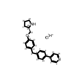 [Cl-].[H+].c1cc(-c2ccc(Cc3ccc(OC[C@H]4CCCN4)cc3)cc2)ccn1